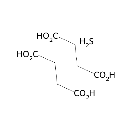 O=C(O)CCC(=O)O.O=C(O)CCC(=O)O.S